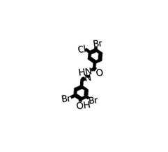 O=C(NN=Cc1cc(Br)c(O)c(Br)c1)c1ccc(Br)c(Cl)c1